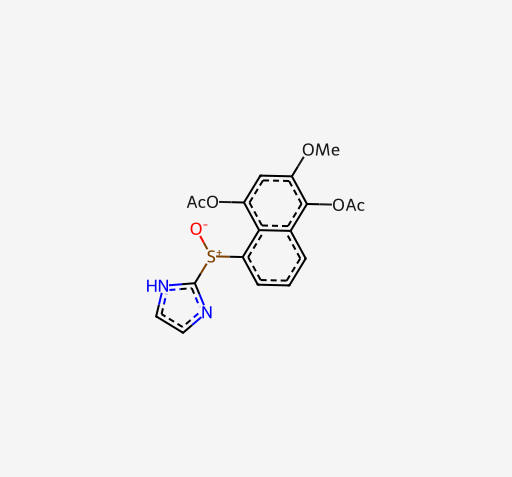 COc1cc(OC(C)=O)c2c([S+]([O-])c3ncc[nH]3)cccc2c1OC(C)=O